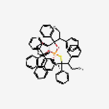 CCC(c1ccccc1)C(OP(=O)(OC(c1ccccc1)(c1ccccc1)C(CC)c1ccccc1)SC(c1ccccc1)(c1ccccc1)C(CC)c1ccccc1)(c1ccccc1)c1ccccc1